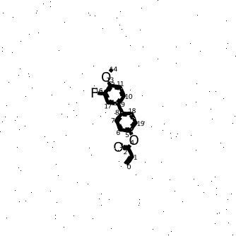 C=CC(=O)Oc1ccc(-c2ccc(OC)c(F)c2)cc1